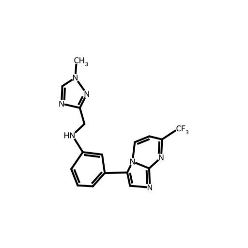 Cn1cnc(CNc2cccc(-c3cnc4nc(C(F)(F)F)ccn34)c2)n1